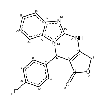 O=C1OCC2=C1C(c1ccc(F)cc1)n1c(nc3ccccc31)N2